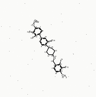 CCCCOc1ccc(-c2ccc(C3CCC(OCc4ccc(C)c(F)c4F)CC3)c(F)c2)c(F)c1F